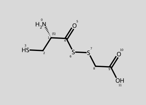 N[C@@H](CS)C(=O)SSCC(=O)O